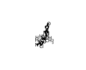 CC1(C)[C@H](NC(=O)c2ncc(N3CCC(C=O)CC3)cn2)C(C)(C)[C@H]1Oc1cnc(C#N)c(Cl)c1